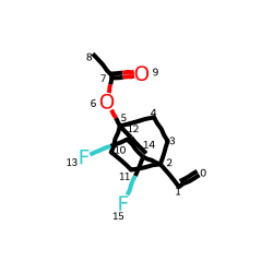 C=CC12CCC(OC(C)=O)(CC1)C(F)=C2F